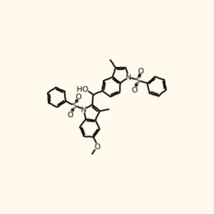 COc1ccc2c(c1)c(C)c(C(O)c1ccc3c(c1)c(C)cn3S(=O)(=O)c1ccccc1)n2S(=O)(=O)c1ccccc1